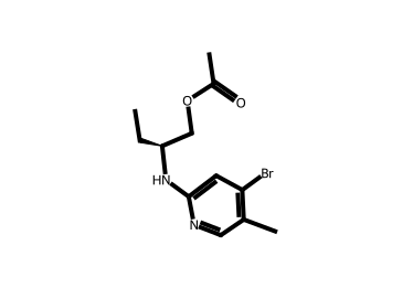 CC[C@@H](COC(C)=O)Nc1cc(Br)c(C)cn1